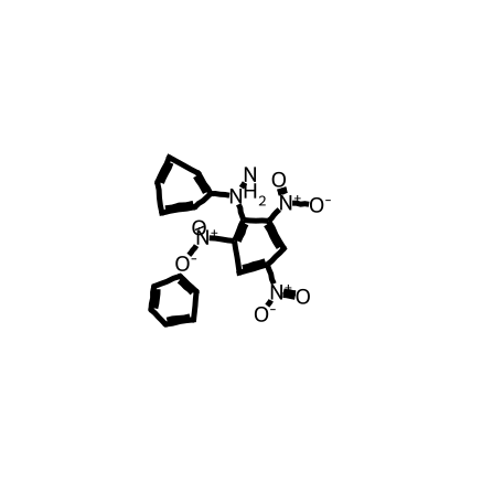 NN(c1ccccc1)c1c([N+](=O)[O-])cc([N+](=O)[O-])cc1[N+](=O)[O-].c1ccccc1